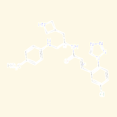 O=C(/C=C/c1cc(Cl)ccc1-n1cnnn1)N[C@H](CNc1ccc(C(=O)O)cc1)CC1CNC1